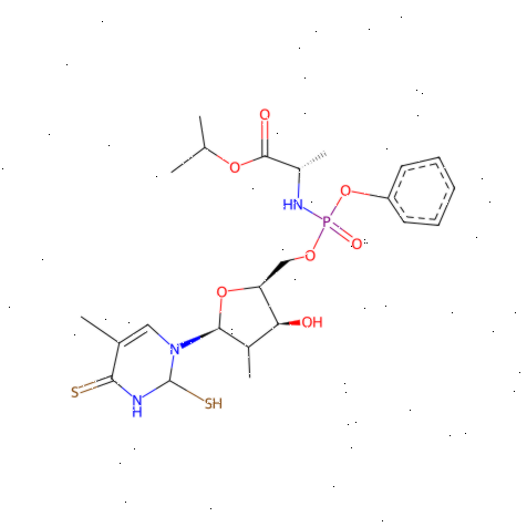 CC1=CN([C@H]2O[C@@H](COP(=O)(N[C@@H](C)C(=O)OC(C)C)Oc3ccccc3)[C@@H](O)C2C)C(S)NC1=S